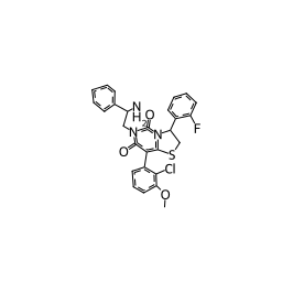 COc1cccc(-c2c3n(c(=O)n(CC(N)c4ccccc4)c2=O)C(c2ccccc2F)CS3)c1Cl